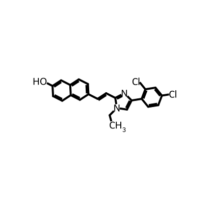 CCn1cc(-c2ccc(Cl)cc2Cl)nc1/C=C/c1ccc2cc(O)ccc2c1